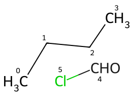 CCCC.O=CCl